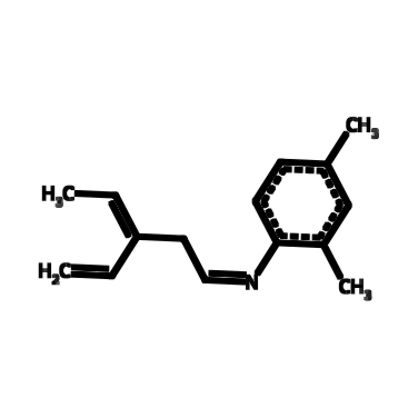 C=C/C(=C\C)C/C=N\c1ccc(C)cc1C